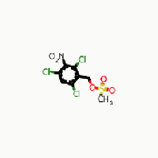 CS(=O)(=O)OCc1c(Cl)cc(Cl)c([N+](=O)[O-])c1Cl